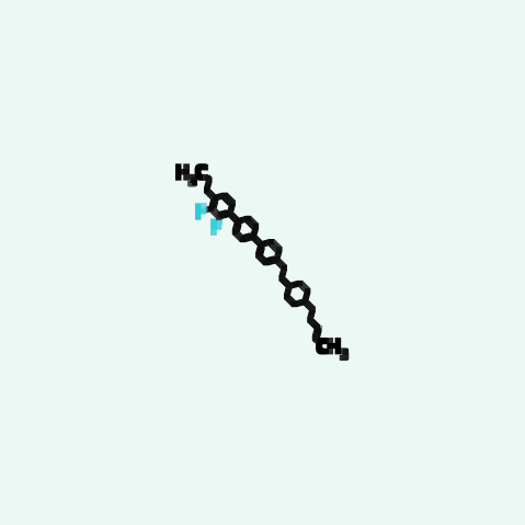 C/C=C/CCC1CCC(CCc2ccc(-c3ccc(-c4ccc(CCC)c(F)c4F)cc3)cc2)CC1